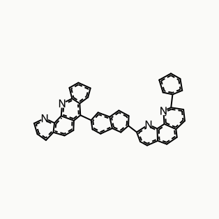 c1ccc(-c2ccc3ccc4ccc(-c5ccc6cc(-c7c8ccccc8nc8c7ccc7cccnc78)ccc6c5)nc4c3n2)cc1